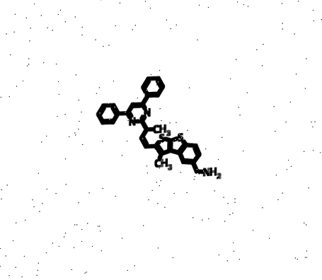 Cc1c(/C=C\C(C)c2nc(-c3ccccc3)cc(-c3ccccc3)n2)sc2sc3ccc(CN)cc3c12